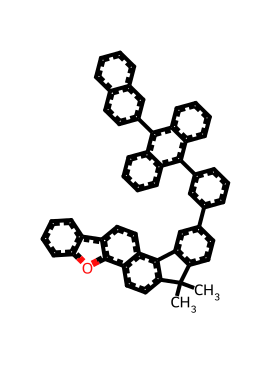 CC1(C)c2ccc(-c3cccc(-c4c5ccccc5c(-c5ccc6ccccc6c5)c5ccccc45)c3)cc2-c2c1ccc1c2ccc2c3ccccc3oc12